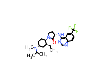 CC[C@H]1C[C@H](N(C)C(C)C)CC[C@@H]1N1CC[C@H](Nc2ncnc3ccc(C(F)(F)F)cc23)C1=O